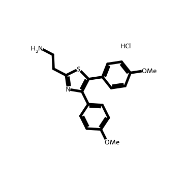 COc1ccc(-c2nc(CCN)sc2-c2ccc(OC)cc2)cc1.Cl